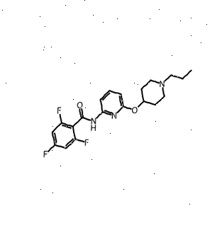 CCCN1CCC(Oc2cccc(NC(=O)c3c(F)cc(F)cc3F)n2)CC1